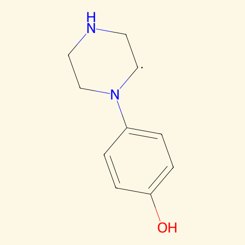 Oc1ccc(N2[CH]CNCC2)cc1